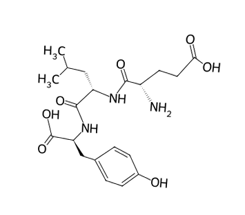 CC(C)C[C@H](NC(=O)[C@@H](N)CCC(=O)O)C(=O)N[C@@H](Cc1ccc(O)cc1)C(=O)O